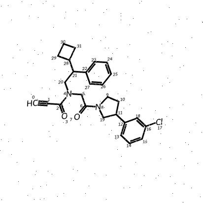 C#CC(=O)N(CC(=O)N1CCC(c2cccc(Cl)c2)C1)CC(c1ccccc1)C1CCC1